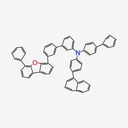 c1ccc(-c2ccc(N(c3ccc(-c4cccc5ccccc45)cc3)c3cccc(-c4cccc(-c5cccc6c5oc5c(-c7ccccc7)cccc56)c4)c3)cc2)cc1